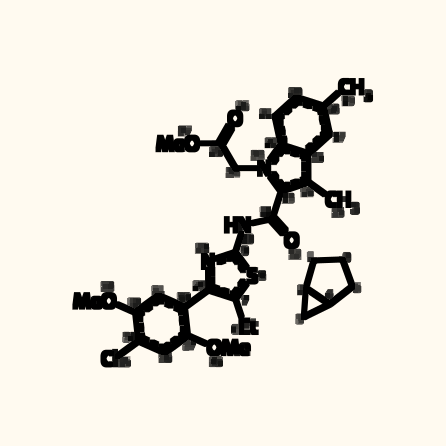 C1CC2CC2C1.CCc1sc(NC(=O)c2c(C)c3cc(C)ccc3n2CC(=O)OC)nc1-c1cc(OC)c(Cl)cc1OC